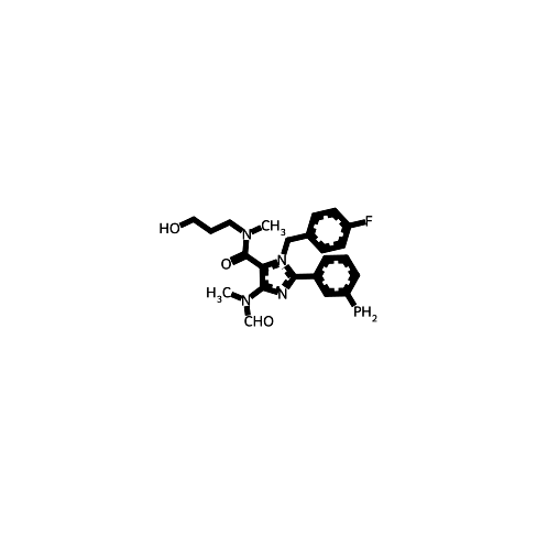 CN(CCCO)C(=O)c1c(N(C)C=O)nc(-c2cccc(P)c2)n1Cc1ccc(F)cc1